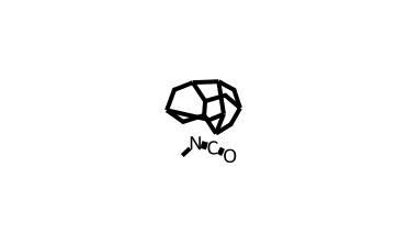 C1C2CC3C4CC5CC(C14)C(C2)C3C5.CN=C=O